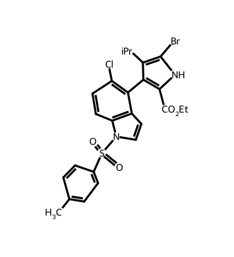 CCOC(=O)c1[nH]c(Br)c(C(C)C)c1-c1c(Cl)ccc2c1ccn2S(=O)(=O)c1ccc(C)cc1